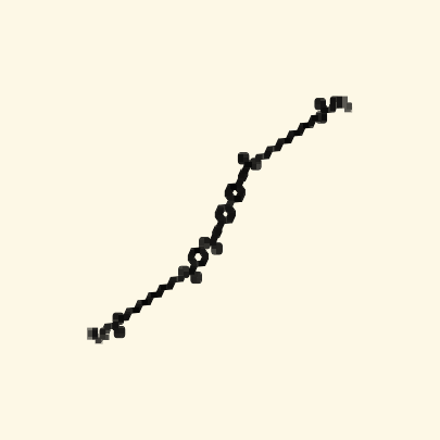 C=CC(=O)OCCCCCCCCCCCOC(=O)C#Cc1ccc(-c2ccc(C#CC(=O)OC3CCC(C(=O)OCCCCCCCCCCCOC(=O)C=C)CC3)cc2)cc1